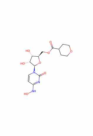 O=C(OC[C@H]1O[C@@H](n2ccc(NO)nc2=O)[C@H](O)[C@@H]1O)C1CCOCC1